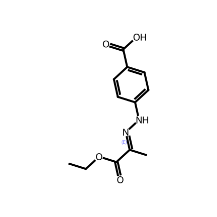 CCOC(=O)/C(C)=N/Nc1ccc(C(=O)O)cc1